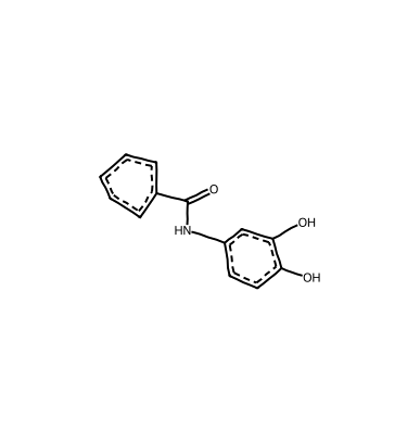 O=C(Nc1ccc(O)c(O)c1)c1ccccc1